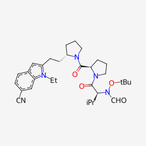 CCn1c(CC[C@@H]2CCCN2C(=O)[C@H]2CCCN2C(=O)[C@H](C(C)C)N(C=O)OC(C)(C)C)cc2ccc(C#N)cc21